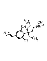 C=Cc1cc(C)c(C(CC)(CCC)CCNC)c(Cl)c1